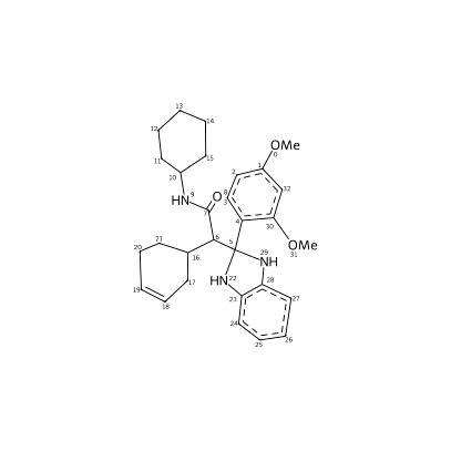 COc1ccc(C2(C(C(=O)NC3CCCCC3)C3CC=CCC3)Nc3ccccc3N2)c(OC)c1